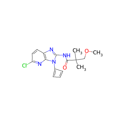 COCC(C)(C)C(=O)Nc1nc2ccc(Cl)nc2n1C1=CC=C1